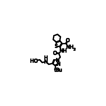 CC(C)(C)c1nn(CC(=O)Nc2sc3c(c2C(N)=O)CCCC3)cc1CNCCO